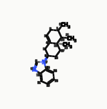 CC1CC=C2C[C@H](n3cnc4ccccc43)CC[C@]2(C)C1C